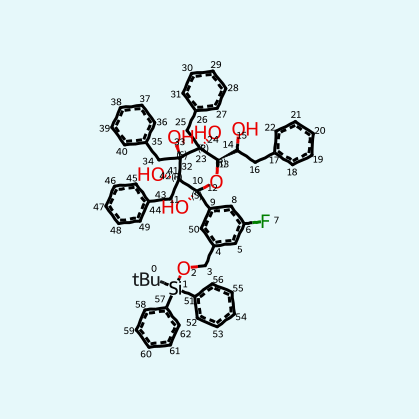 CC(C)(C)[Si](OCc1cc(F)cc([C@]2(O)O[C@H](C(O)Cc3ccccc3)[C@](O)(Cc3ccccc3)[C@@](O)(Cc3ccccc3)[C@]2(O)Cc2ccccc2)c1)(c1ccccc1)c1ccccc1